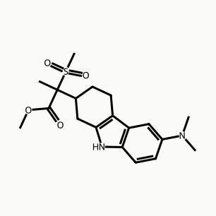 COC(=O)C(C)(C1CCc2c([nH]c3ccc(N(C)C)cc23)C1)S(C)(=O)=O